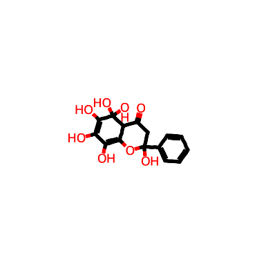 O=C1CC(O)(c2ccccc2)OC2=C(O)C(O)=C(O)C(O)(O)C12